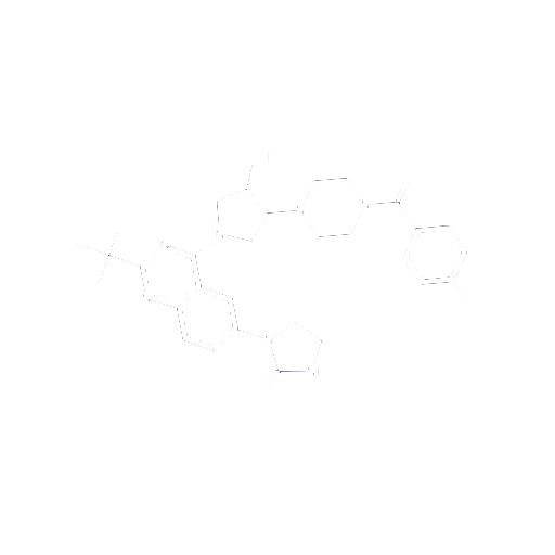 O=C(c1ccc(Cl)cc1)N1CCN(C2CN(c3nc(C(F)(F)F)nc4ccc(N5CCNC5=O)cc34)CC2O)CC1